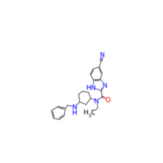 CCN(C(=O)c1nc2cc(C#N)ccc2[nH]1)C1CCCC(NCc2ccccc2)C1